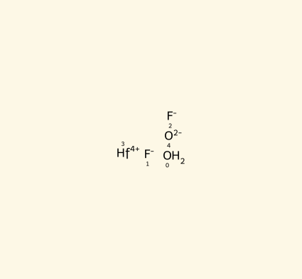 O.[F-].[F-].[Hf+4].[O-2]